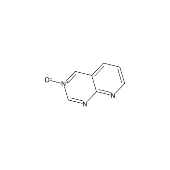 [O-][n+]1cnc2ncccc2c1